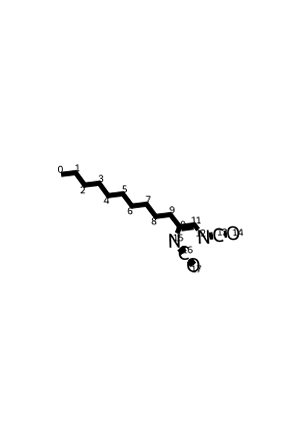 CCCCCCCCCCC(=CN=C=O)N=C=O